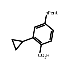 CCCCCc1ccc(C(=O)O)c(C2CC2)c1